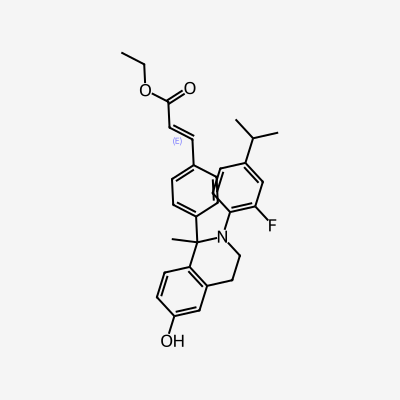 CCOC(=O)/C=C/c1ccc(C2(C)c3ccc(O)cc3CCN2c2ccc(C(C)C)cc2F)cc1